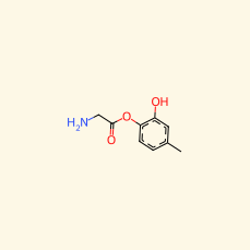 Cc1ccc(OC(=O)CN)c(O)c1